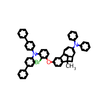 CC12CC3C=C(N(c4ccccc4)c4ccccc4)C=CC(=C31)c1cc(Oc3cccc(N(c4ccc(-c5ccccc5)cc4)c4ccc(-c5ccccc5)cc4)c3Br)ccc12